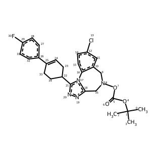 CC(C)(C)OC(=O)ON1Cc2cc(Cl)ccc2-n2c(nnc2C2CC=C(c3ccc(F)cc3)CC2)C1